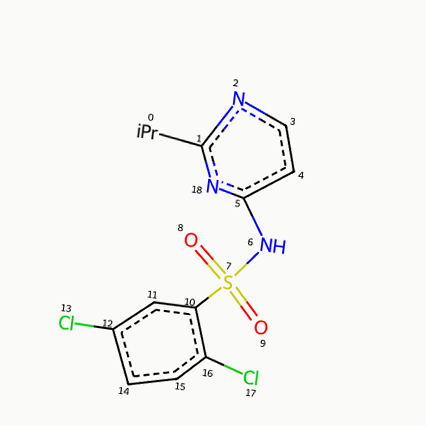 CC(C)c1nccc(NS(=O)(=O)c2cc(Cl)ccc2Cl)n1